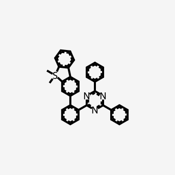 CS1(C)c2ccccc2-c2ccc(-c3ccccc3-c3nc(-c4ccccc4)nc(-c4ccccc4)n3)cc21